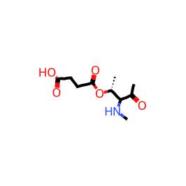 CNC(C(C)=O)[C@@H](C)OC(=O)CCC(=O)O